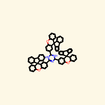 c1ccc2c(c1)Oc1ccc(C3=NC(c4ccc5c(c4)C4(c6ccccc6O5)c5ccccc5-c5ccccc54)NC(c4ccc5c(c4)C4(c6ccccc6O5)c5ccccc5-c5ccccc54)N3)cc1C21c2ccccc2-c2ccccc21